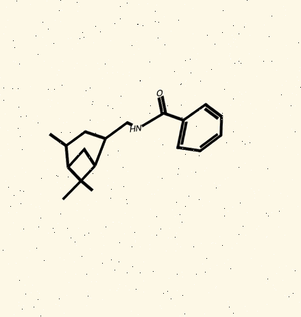 CC1CC(CNC(=O)c2ccccc2)C2CC1C2(C)C